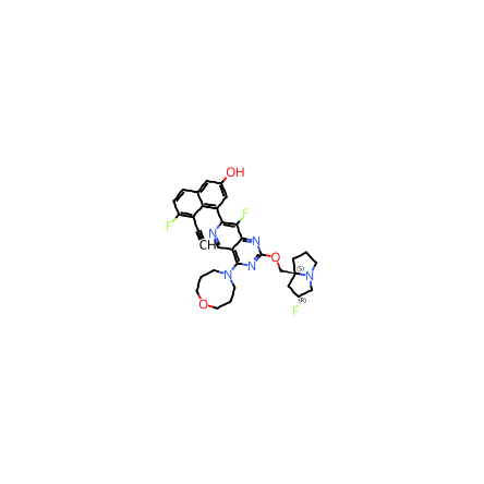 C#Cc1c(F)ccc2cc(O)cc(-c3ncc4c(N5CCCOCCC5)nc(OC[C@@]56CCCN5C[C@H](F)C6)nc4c3F)c12